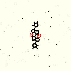 Cc1ccc(-c2ccc3oc4ccc5c(-c6ccc(C)c(C)c6C)ccc6oc7ccc2c3c7-c4c65)c(C)c1C